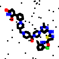 Cc1nc(Nc2ncc(C(=O)Nc3c(C)cccc3Cl)s2)cc(N2CCN(C(=O)C3CCN(CC4CCN(c5cccc(C6CCC(=O)NC6=O)c5)CC4)CC3)CC2)n1